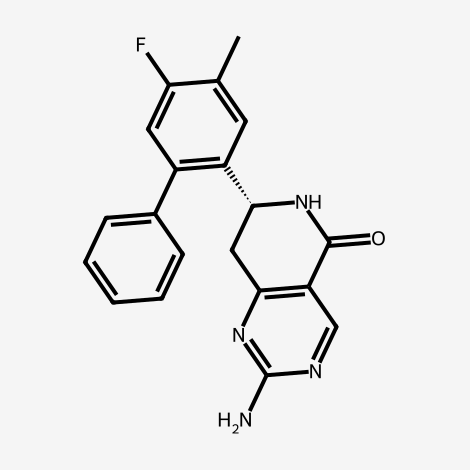 Cc1cc([C@H]2Cc3nc(N)ncc3C(=O)N2)c(-c2ccccc2)cc1F